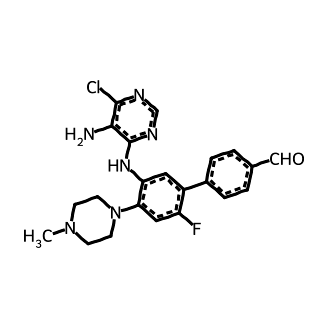 CN1CCN(c2cc(F)c(-c3ccc(C=O)cc3)cc2Nc2ncnc(Cl)c2N)CC1